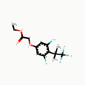 CCOC(=O)COc1cc(F)c(C(C)(C)C(F)(F)F)c(F)c1